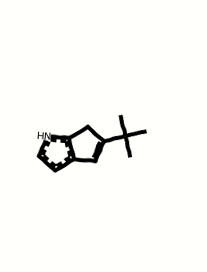 CC(C)(C)C1=Cc2cc[nH]c2C1